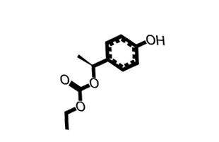 CCOC(=O)O[C@@H](C)c1ccc(O)cc1